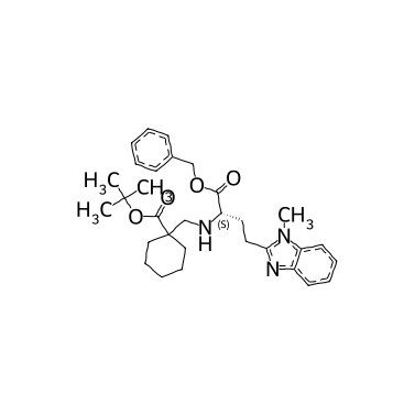 Cn1c(CC[C@H](NCC2(C(=O)OC(C)(C)C)CCCCC2)C(=O)OCc2ccccc2)nc2ccccc21